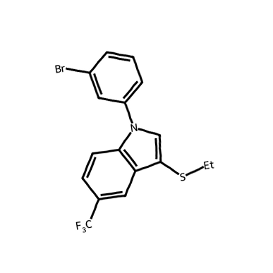 CCSc1cn(-c2cccc(Br)c2)c2ccc(C(F)(F)F)cc12